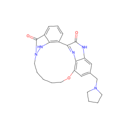 O=c1[nH]c2cc(CN3CCCC3)cc3c2nc1-c1cccc2c(=O)n([nH]c12)CCCCCO3